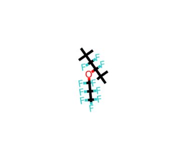 CC(C)(C)C(F)(F)C(F)(OC(F)(F)C(F)(F)C(F)(F)F)C(C)(C)C